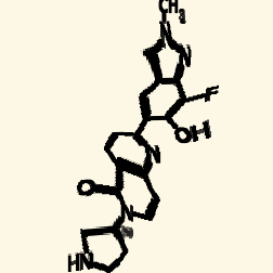 Cn1cc2cc(-c3ccc4c(=O)n([C@H]5CCNC5)ccc4n3)c(O)c(F)c2n1